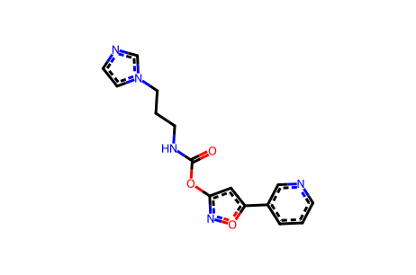 O=C(NCCCn1ccnc1)Oc1cc(-c2cccnc2)on1